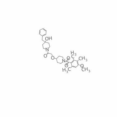 COc1cc(C)c(S(=O)(=O)N2CCC(OCC(=O)N3CCC(O)(Cc4ccccc4)CC3)CC2)c(C)c1C